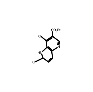 CCOC(=O)c1cnc2c(c1Cl)NC(Cl)C=C2